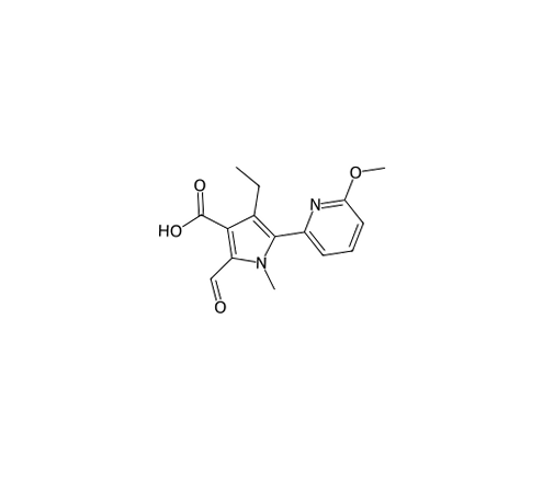 CCc1c(C(=O)O)c(C=O)n(C)c1-c1cccc(OC)n1